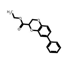 CCOC(=O)C1COc2ccc(-c3ccccc3)cc2O1